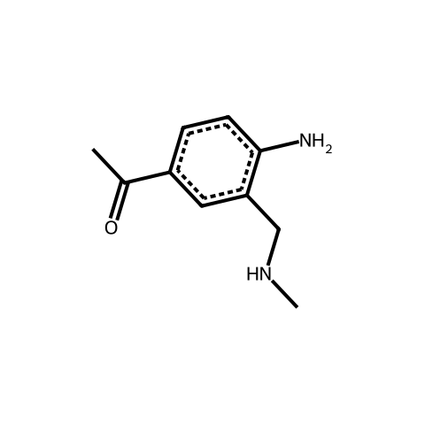 CNCc1cc(C(C)=O)ccc1N